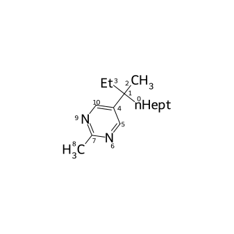 CCCCCCCC(C)(CC)c1cnc(C)nc1